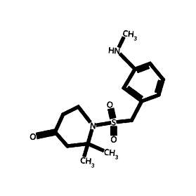 CNc1cccc(CS(=O)(=O)N2CCC(=O)CC2(C)C)c1